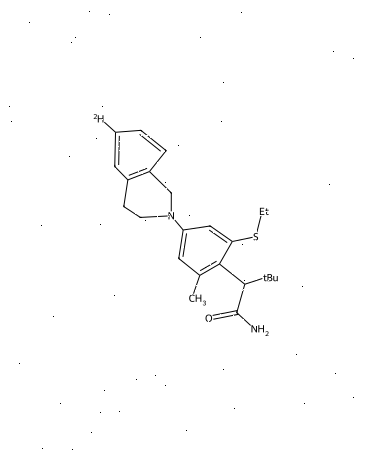 [2H]c1ccc2c(c1)CCN(c1cc(C)c(C(C(N)=O)C(C)(C)C)c(SCC)c1)C2